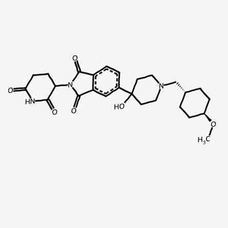 CO[C@H]1CC[C@H](CN2CCC(O)(c3ccc4c(c3)C(=O)N(C3CCC(=O)NC3=O)C4=O)CC2)CC1